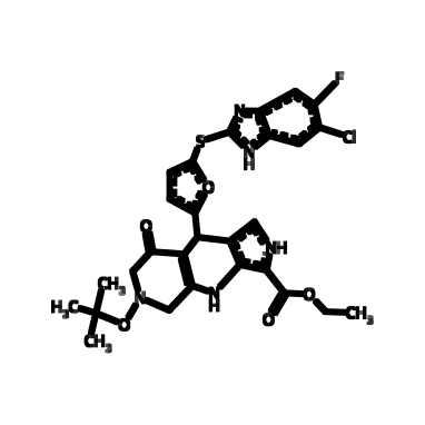 CCOC(=O)c1[nH]cc2c1NC1=C(C(=O)CN(OC(C)(C)C)C1)C2c1ccc(Sc2nc3cc(F)c(Cl)cc3[nH]2)o1